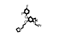 CC(C)Cn1ncc2cc(Oc3ccc(F)cc3F)c(OCCCN3CCCC3)cc21